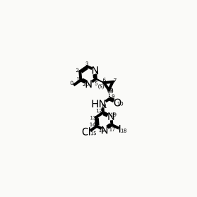 Cc1ccnc([C@H]2C[C@@H]2C(=O)Nc2cc(Cl)nc(I)n2)n1